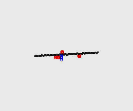 CCCCCCCCCCCCCCCC[C@@H](O)CNC(=O)CCCCCCCCCCC(=O)CCCCCCCCCCCCC